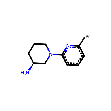 CC(C)c1cccc(N2CCC[C@H](N)C2)n1